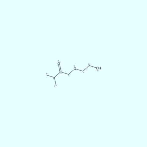 CC(C)C(=O)COCCO